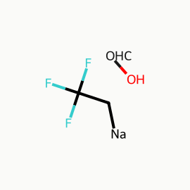 FC(F)(F)[CH2][Na].O=CO